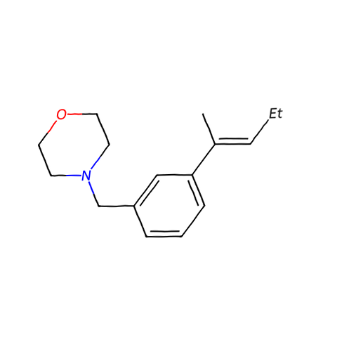 CC/C=C(\C)c1cccc(CN2CCOCC2)c1